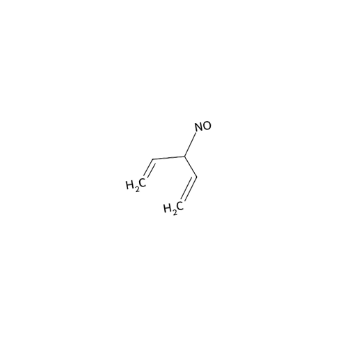 C=CC(C=C)N=O